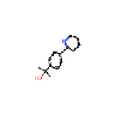 CC(C)(O)c1ccc(-c2ccccn2)cc1